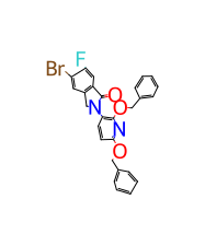 O=C1c2cc(F)c(Br)cc2CN1c1ccc(OCc2ccccc2)nc1OCc1ccccc1